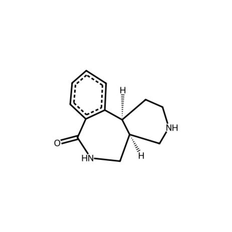 O=C1NC[C@@H]2CNCC[C@@H]2c2ccccc21